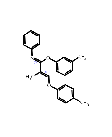 CC(=C\Oc1ccc(C)cc1)/C(=N/c1ccccc1)Oc1cccc(C(F)(F)F)c1